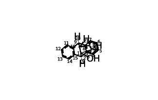 O[C@@H]1[C@H]2c3ccccc3[C@H](c3ccccc32)[C@@H]1O